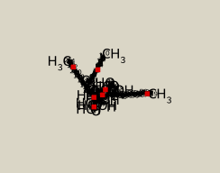 CCCCCCCCCCCC(=O)O[C@H](CCCCCCCCCCC)CC(=O)N[C@H]1C(OC[C@H]2O[C@@H](OP(=O)(O)O)[C@H](NC(=O)C[C@H](O)CCCCCCCCCCC)[C@@H](O)[C@@H]2O)O[C@H](CO)[C@@H](OP(=O)(O)O)[C@@H]1O